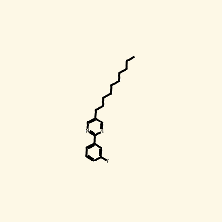 CCCCCCCCCCc1cnc(-c2cc[c]c(F)c2)nc1